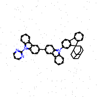 c1cnc(-n2c3ccccc3c3cc(-c4ccc5c(c4)c4ccccc4n5-c4ccc5c(c4)C4(c6ccccc6-5)C5CC6CC(C5)CC4C6)ccc32)nc1